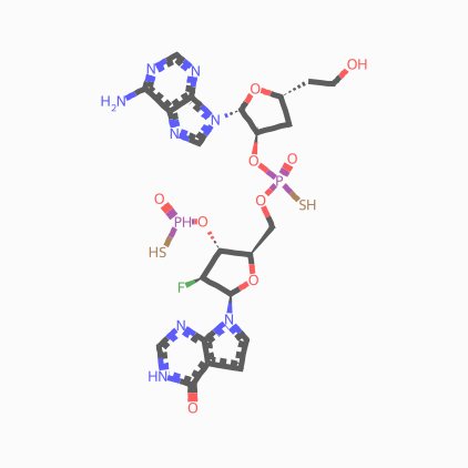 Nc1ncnc2c1ncn2[C@@H]1O[C@H](CCO)C[C@H]1OP(=O)(S)OC[C@H]1O[C@@H](n2ccc3c(=O)[nH]cnc32)[C@@H](F)[C@@H]1O[PH](=O)S